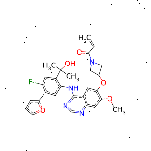 C=CC(=O)N1CC(Oc2cc3c(Nc4cc(-c5ccco5)c(F)cc4C(C)(C)O)ncnc3cc2OC)C1